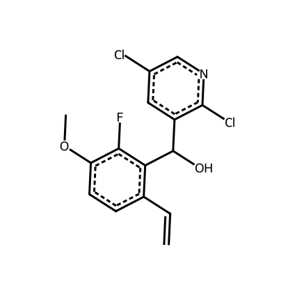 C=Cc1ccc(OC)c(F)c1C(O)c1cc(Cl)cnc1Cl